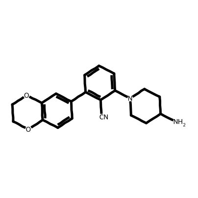 N#Cc1c(-c2ccc3c(c2)OCCO3)cccc1N1CCC(N)CC1